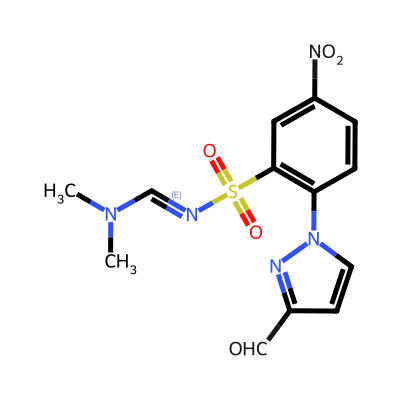 CN(C)/C=N/S(=O)(=O)c1cc([N+](=O)[O-])ccc1-n1ccc(C=O)n1